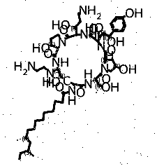 CC[C@H](C)C[C@H](C)CCCCCCCCC(=O)NC1C[C@@H](O)[C@@H](NCCN)NC(=O)C2[C@@H](O)CCN2C(=O)C([C@H](O)CCN)NC(=O)C([C@H](O)[C@@H](O)c2ccc(O)cc2)NC(=O)[C@@H]2C[C@@H](O)CN2C(=O)[C@H]([C@@H](C)O)NC1=O